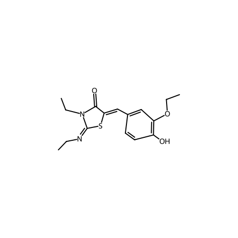 CCN=C1S/C(=C\c2ccc(O)c(OCC)c2)C(=O)N1CC